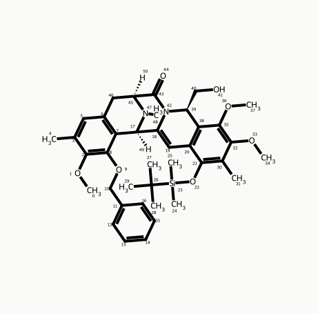 COc1c(C)cc2c(c1OCc1ccccc1)[C@@H]1C3=Cc4c(O[Si](C)(C)C(C)(C)C)c(C)c(OC)c(OC)c4[C@H](CO)N3C(=O)[C@H](C2)N1C